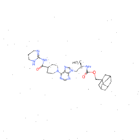 O=C(N[C@@H](Cn1cnc2c(N3CCC(C(=O)NC4=NCCCN4)CC3)ncnc21)C(=O)O)OCC12CC3CC(CC(C3)C1)C2